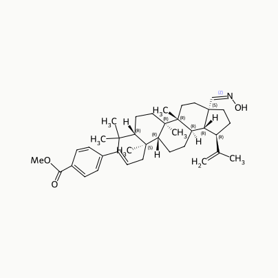 C=C(C)[C@@H]1CC[C@]2(/C=N\O)CC[C@]3(C)[C@H](CC[C@@H]4[C@@]5(C)CC=C(c6ccc(C(=O)OC)cc6)C(C)(C)[C@@H]5CC[C@]43C)[C@@H]12